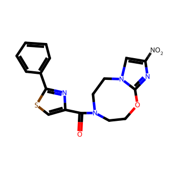 O=C(c1csc(-c2ccccc2)n1)N1CCOc2nc([N+](=O)[O-])cn2CC1